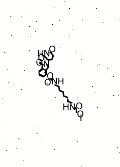 O=C(COI)NCCCCCCCCNC(=O)Oc1cccc2c1CN(C1CCC(=O)NC1=O)C2=O